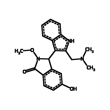 CON1C(=O)c2ccc(O)cc2C1c1c(CN(C)C)[nH]c2ccccc12